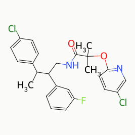 CC(c1ccc(Cl)cc1)C(CNC(=O)C(C)(C)Oc1ccc(Cl)cn1)c1cccc(F)c1